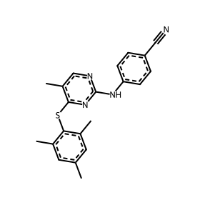 Cc1cc(C)c(Sc2nc(Nc3ccc(C#N)cc3)ncc2C)c(C)c1